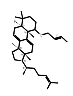 C/C=C/COC1CCC(C)(C)[C@@H]2CC=C3C(=CC[C@]4(C)[C@@H]([C@H](C)CCC=C(C)C)CC[C@@]34C)[C@@]12C